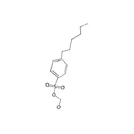 CCCCCCc1ccc(S(=O)(=O)OC[O])cc1